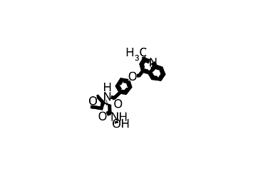 Cc1cc(COc2ccc(C(=O)N[C@]3(CC(=O)NO)CCOC3)cc2)c2ccccc2n1